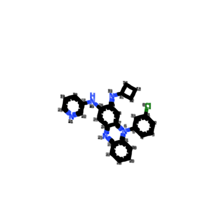 Clc1cccc(-n2c3c/c(=N\C4CCC4)c(Nc4cccnc4)cc-3nc3ccccc32)c1